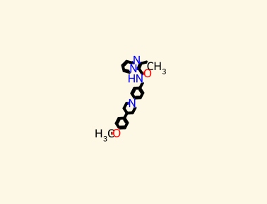 CCc1nc2ccccn2c1C(=O)NCc1ccc(N2CCC(c3ccc(OC)cc3)CC2)cc1